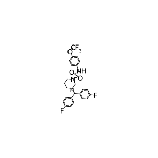 O=S(=O)(Nc1ccc(OC(F)(F)F)cc1)N1CCC[C@H](C(c2ccc(F)cc2)c2ccc(F)cc2)C1